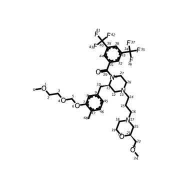 COCCOCOc1cc(C[C@@H]2CN(CCCN3CCO[C@H](COC)C3)CCN2C(=O)c2cc(C(F)(F)F)cc(C(F)(F)F)c2)ccc1C